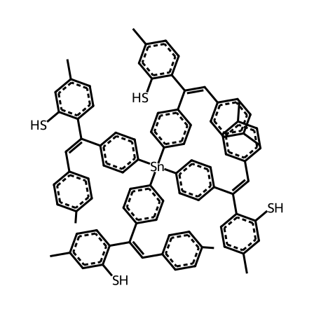 Cc1ccc(/C=C(\c2cc[c]([Sn]([c]3ccc(/C(=C\c4ccc(C)cc4)c4ccc(C)cc4S)cc3)([c]3ccc(/C(=C\c4ccc(C)cc4)c4ccc(C)cc4S)cc3)[c]3ccc(/C(=C\c4ccc(C)cc4)c4ccc(C)cc4S)cc3)cc2)c2ccc(C)cc2S)cc1